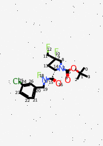 CC(C)(C)OC(=O)N1C[C@](F)(CF)C[C@H]1C(=O)N(F)Cc1cccc(Cl)c1